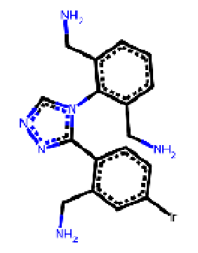 NCc1c[c]([Ir])ccc1-c1nncn1-c1c(CN)cccc1CN